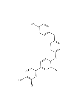 Oc1ccc(Sc2ccc(Oc3ccc(-c4ccc(O)c(Cl)c4)cc3Cl)cc2)cc1